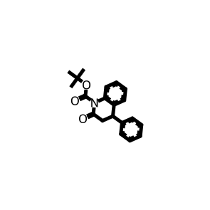 CC(C)(C)OC(=O)N1C(=O)CC(c2ccccc2)c2ccccc21